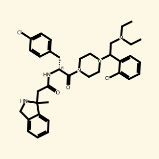 CCN(CC)CC(c1ccccc1Cl)N1CCN(C(=O)[C@@H](Cc2ccc(Cl)cc2)NC(=O)CC2(C)NCc3ccccc32)CC1